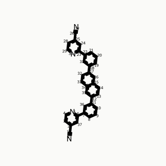 N#Cc1ccnc(-c2cccc(-c3ccc4cc(-c5cccc(-c6cc(C#N)ccn6)c5)ccc4c3)c2)c1